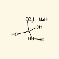 CCNC(O)(O)C(=O)O.[NaH]